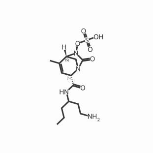 CCCC(CCN)NC(=O)[C@@H]1C=C(C)[C@H]2CN1C(=O)N2OS(=O)(=O)O